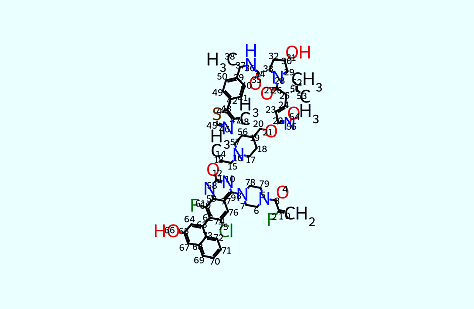 C=C(F)C(=O)N1CCN(c2nc(O[C@H](C)CN3CCC(COc4cc([C@H](C(=O)N5C[C@H](O)C[C@H]5C(=O)N[C@@H](C)c5ccc(-c6scnc6C)cc5)C(C)C)on4)CC3)nc3c(F)c(-c4cc(O)cc5ccccc45)c(Cl)cc23)CC1